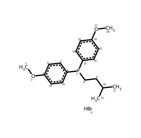 Br.COc1ccc(P(CCC(C)C)c2ccc(OC)cc2)cc1